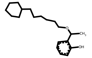 CC(OCCCCCCC1CCCCC1)c1ccccc1O